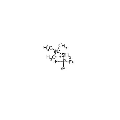 C[N+](C)(C)[SiH2]C(F)(F)F